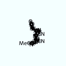 COc1ccc(CN2C[C@](C)(C#N)[C@H]3[C@@H]2CN3c2ccc(-c3cc(-c4cnn(C5CCC(=O)CC5)c4)cn4ncc(C#N)c34)cn2)cn1